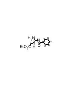 CCOC(=O)CNC(N)=NC(=O)c1ccccc1